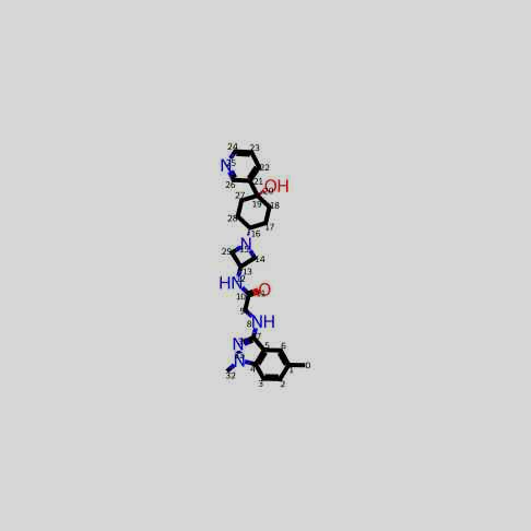 Cc1ccc2c(c1)c(NCC(=O)NC1CN([C@H]3CC[C@@](O)(c4cccnc4)CC3)C1)nn2C